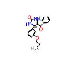 C=CCOc1cccc([C@H]2NC(=O)NC3=C2C(=O)c2ccccc23)c1